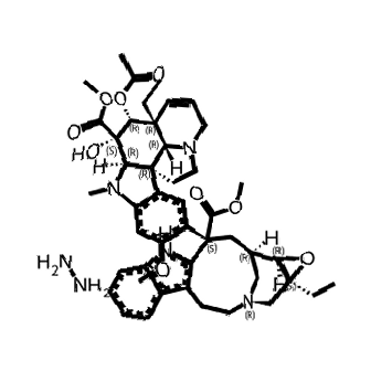 CC[C@]12C[N@@]3CCc4c([nH]c5ccccc45)[C@@](C(=O)OC)(c4cc5c(cc4OC)N(C)[C@H]4[C@@](O)(C(=O)OC)[C@H](OC(C)=O)[C@]6(CC)C=CCN7CC[C@]54[C@@H]76)C[C@H](C3)[C@H]1O2.NN